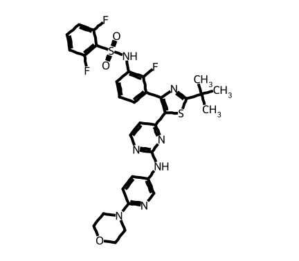 CC(C)(C)c1nc(-c2cccc(NS(=O)(=O)c3c(F)cccc3F)c2F)c(-c2ccnc(Nc3ccc(N4CCOCC4)nc3)n2)s1